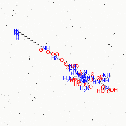 CCCCC(NC(=O)[C@H](CCCCN(CC(=O)O)CC(=O)O)NC(=O)CCNC(=O)[C@H](Cc1c[nH]cn1)NC(=O)[C@H](CCC(N)=O)NC(=O)[C@H](CO)NC(=O)[C@H](CO)NC(=O)[C@H](CCC(N)=O)NC(=O)[C@@H](CO)NC(=O)CNC(=O)COCCOCCNC(=O)COCCOCCNC(=O)CCCCCCCCCCCCCCCc1nnn[nH]1)C(=O)NC